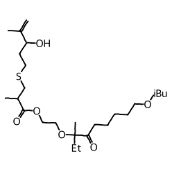 C=C(C)C(O)CCSCC(C)C(=O)OCCOC(C)(CC)C(=O)CCCCCOC(C)CC